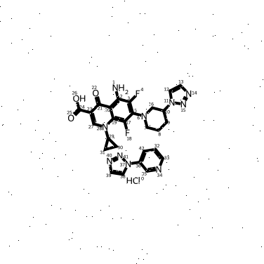 Cl.Nc1c(F)c(N2CCCC(n3ccnn3)C2)c(F)c2c1c(=O)c(C(=O)O)cn2C1CC1.c1cncc(-n2ccnn2)c1